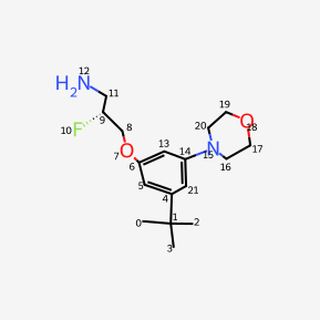 CC(C)(C)c1cc(OC[C@H](F)CN)cc(N2CCOCC2)c1